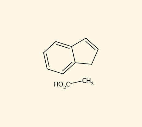 C1=Cc2ccccc2C1.CC(=O)O